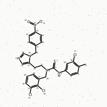 Cc1ccc(NC(=S)N(CCc2cncn2Cc2ccc([N+](=O)[O-])cc2)Cc2cccc(Cl)c2Cl)cc1Cl